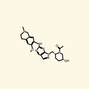 COc1cc2c(cc1Nc1ncc3cnn(C[C@@H]4CC[C@@H](O)CN4C(C)=O)c3n1)CN(C)CC2